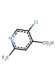 O=C(O)c1cc(C(F)(F)F)ncc1Cl